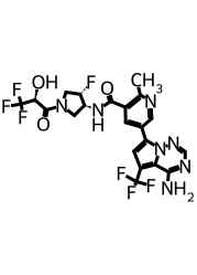 Cc1ncc(-c2cc(C(F)(F)F)c3c(N)ncnn23)cc1C(=O)N[C@@H]1CN(C(=O)[C@H](O)C(F)(F)F)C[C@@H]1F